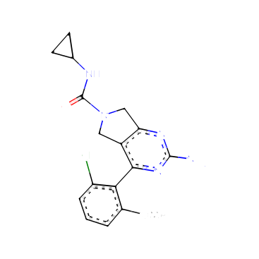 COc1cccc(Cl)c1-c1nc(N)nc2c1CN(C(=O)NC1CC1)C2